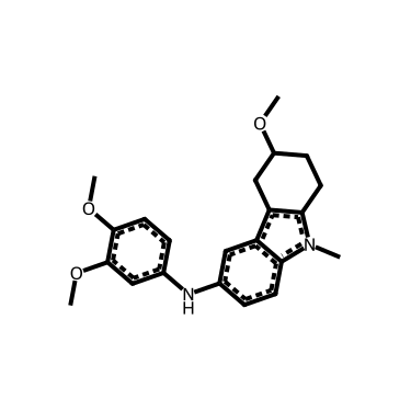 COc1ccc(Nc2ccc3c(c2)c2c(n3C)CCC(OC)C2)cc1OC